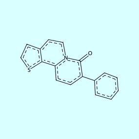 O=c1c(-c2ccccc2)ccc2c3sccc3ccn12